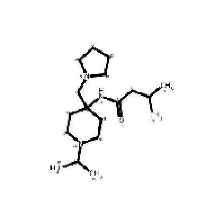 CC(C)CC(=O)NC1(CN2CCCC2)CCN(C(C)C)CC1